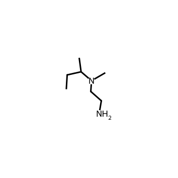 CCC(C)N(C)CCN